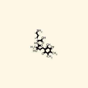 CC1=C(C)C(=O)C(CCC(C)(O)C(=O)N[C@H](CCCN)C(=O)O)=C(C)C1=O